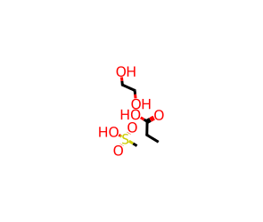 CCC(=O)O.CS(=O)(=O)O.OCCO